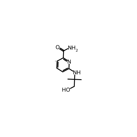 CC(C)(CO)Nc1cc[c]c(C(N)=O)n1